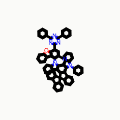 N#Cc1cc(-c2nc(-c3ccccc3)nc(-c3ccccc3)n2)c2oc3ccccc3c2c1-n1c2ccccc2c2c3c(c4c(c5ccccc5n4-c4ccccc4)c21)-c1ccccc1C31c2ccccc2-c2ccccc21